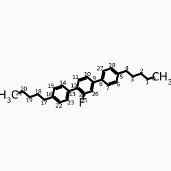 CCCCCc1ccc(-c2ccc(-c3ccc(CCCCC)cc3)c(F)c2)cc1